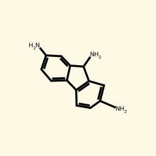 Nc1ccc2c(c1)C(N)c1cc(N)ccc1-2